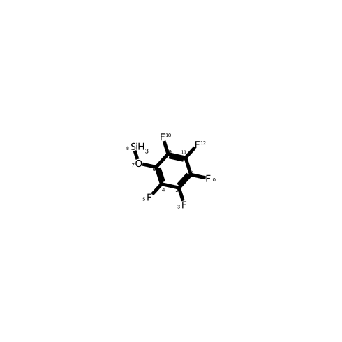 Fc1c(F)c(F)c(O[SiH3])c(F)c1F